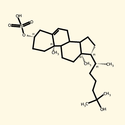 C[C@H](CCCC(C)(C)O)[C@H]1CCC2C3CC=C4C[C@@H](OS(=O)(=O)O)CC[C@]4(C)C3CC[C@@]21C